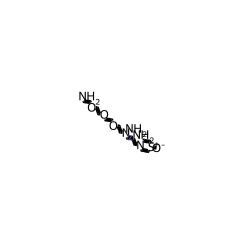 NCCOCCOCCOCCN(N)/C=C(\N)CN1CC[S+]([O-])CC1